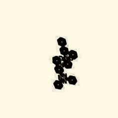 O=C1c2cccc(-n3c4ccccc4c4ccc(-c5nc(-c6ccccc6)nc(-c6ccccc6)n5)cc43)c2C(=O)N1c1ccc(-c2ccccc2)cc1-c1ccccc1